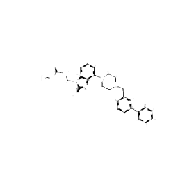 CNOC(=O)OCn1c(=O)oc2c(N3CCN(Cc4cccc(-c5ccccc5)c4)CC3)cccc21